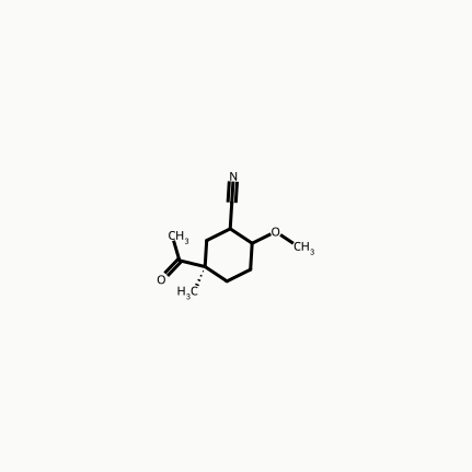 COC1CC[C@@](C)(C(C)=O)CC1C#N